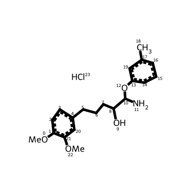 COc1ccc(CCCC(O)C(N)Oc2cccc(C)c2)cc1OC.Cl